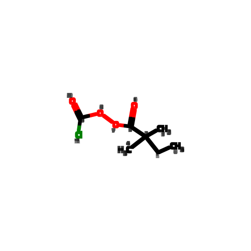 CCC(C)(C)C(=O)OOC(=O)Cl